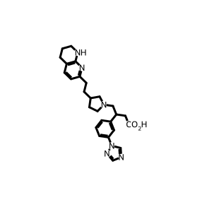 O=C(O)CC(CN1CCC(CCc2ccc3c(n2)NCCC3)C1)c1cccc(-n2cncn2)c1